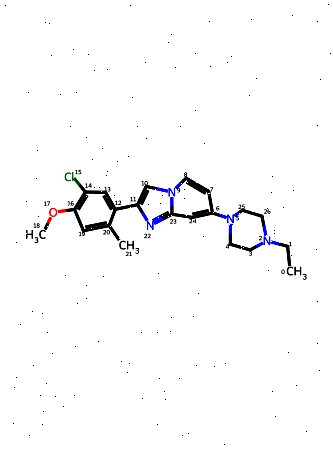 CCN1CCN(c2ccn3cc(-c4cc(Cl)c(OC)cc4C)nc3c2)CC1